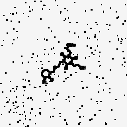 CCN1CCCN(COCCn2c(=O)n(CCO)c(=O)n(CCOC)c2=O)C1=O